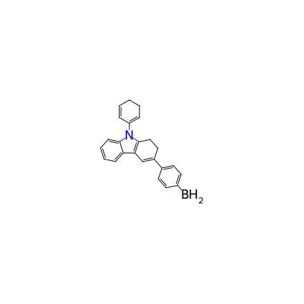 Bc1ccc(C2=Cc3c(n(C4=CCCC=C4)c4ccccc34)CC2)cc1